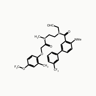 CNc1ccc(-c2cccc(C(F)(F)F)c2)cc1C(=O)N(CC=O)CCN(C)C(=O)COc1ccc(OC(F)(F)F)cc1C